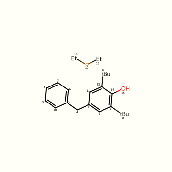 CC(C)(C)c1cc(Cc2ccccc2)cc(C(C)(C)C)c1O.CCSCC